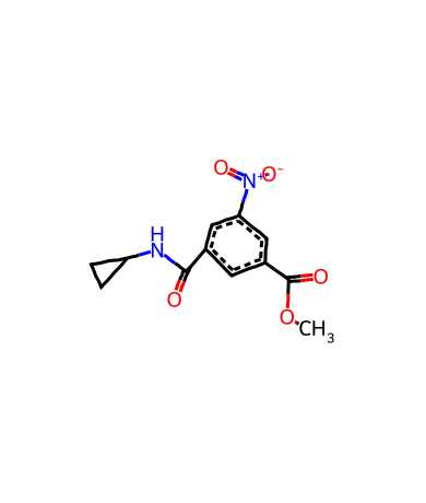 COC(=O)c1cc(C(=O)NC2CC2)cc([N+](=O)[O-])c1